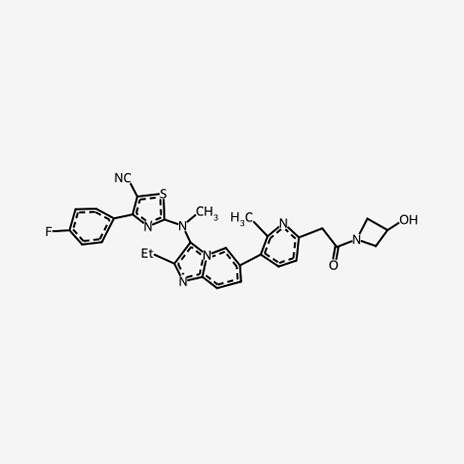 CCc1nc2ccc(-c3ccc(CC(=O)N4CC(O)C4)nc3C)cn2c1N(C)c1nc(-c2ccc(F)cc2)c(C#N)s1